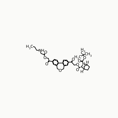 CCCNCC(=O)OCC(=O)c1ccc2c(c1)COCc1cc(C(=O)COC(=O)[C@@H]3[C@H]4CC[C@H](C4)N3C(=O)OC(C)(C)C)ccc1-2